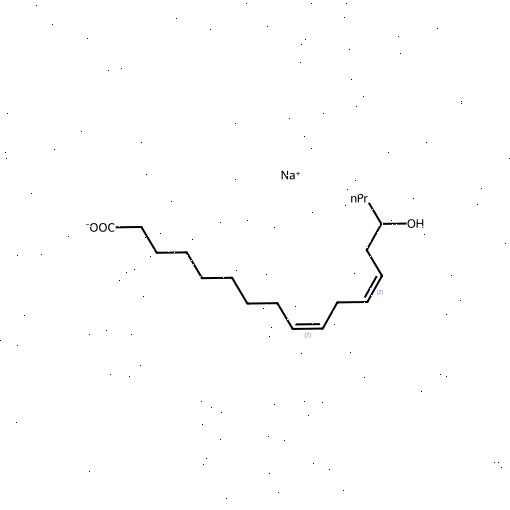 CCCC(O)C/C=C\C/C=C\CCCCCCCC(=O)[O-].[Na+]